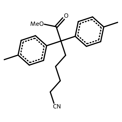 COC(=O)C(CCCCC#N)(c1ccc(C)cc1)c1ccc(C)cc1